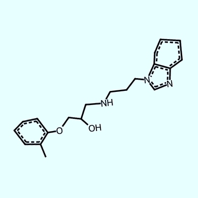 Cc1ccccc1OCC(O)CNCCCn1cnc2ccccc21